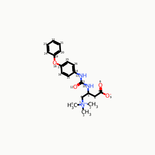 C[N+](C)(C)CC(CC(=O)[O-])NC(=O)Nc1ccc(Oc2ccccc2)cc1